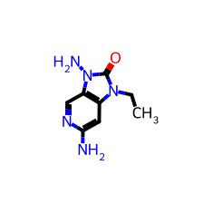 CCn1c(=O)n(N)c2cnc(N)cc21